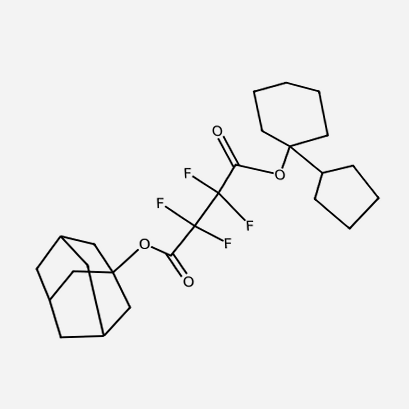 O=C(OC12CC3CC(CC(C3)C1)C2)C(F)(F)C(F)(F)C(=O)OC1(C2CCCC2)CCCCC1